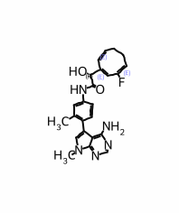 Cc1cc(NC(=O)[C@H](O)C2=C/C(F)=C\CC/C=C\2)ccc1-c1cn(C)c2ncnc(N)c12